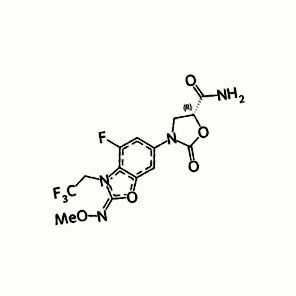 CON=c1oc2cc(N3C[C@H](C(N)=O)OC3=O)cc(F)c2n1CC(F)(F)F